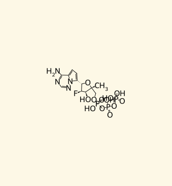 C[C@]1(COP(=O)(O)OP(=O)(O)OP(=O)(O)O)O[C@@H](c2ccc3c(N)ncnn23)[C@H](F)[C@@H]1O